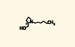 CCCCCCN1CCC[C@@H]1CO